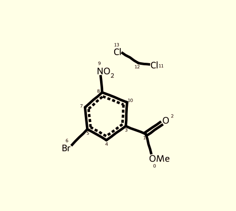 COC(=O)c1cc(Br)cc([N+](=O)[O-])c1.ClCCl